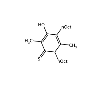 CCCCCCCCC1=C(C)C(CCCCCCCC)C(=S)C(C)=C1O